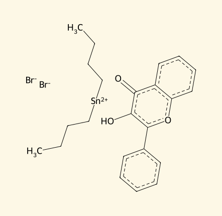 CCC[CH2][Sn+2][CH2]CCC.O=c1c(O)c(-c2ccccc2)oc2ccccc12.[Br-].[Br-]